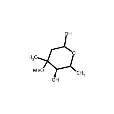 COC1(C)CC(O)OC(C)[C@H]1O